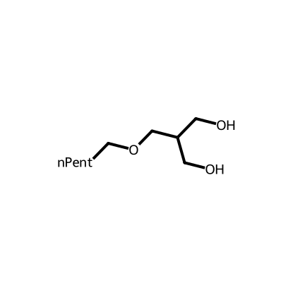 CCCCCCOCC(CO)CO